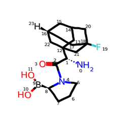 N[C@H](C(=O)N1CCC[C@H]1B(O)O)C12CC3C[C@H](CC(F)(C3)C1)C2